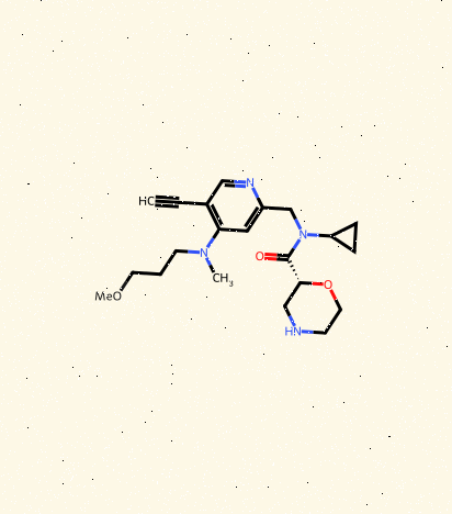 C#Cc1cnc(CN(C(=O)[C@H]2CNCCO2)C2CC2)cc1N(C)CCCOC